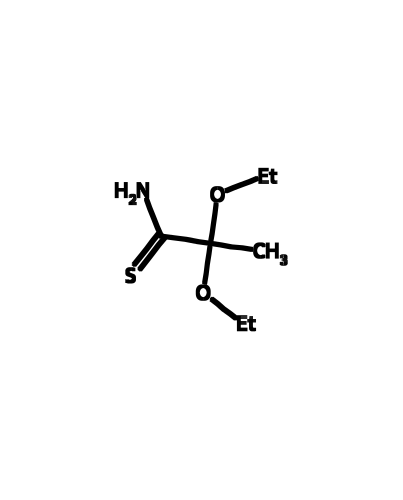 CCOC(C)(OCC)C(N)=S